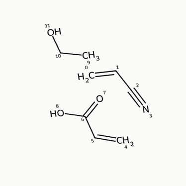 C=CC#N.C=CC(=O)O.CCO